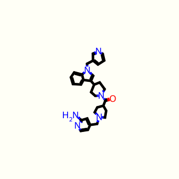 Nc1cc(CN2CCC(C(=O)N3CCC(c4cn(Cc5cccnc5)c5ccccc45)CC3)CC2)ccn1